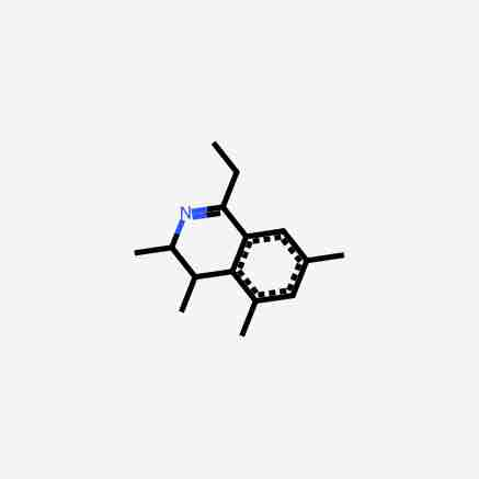 CCC1=NC(C)C(C)c2c(C)cc(C)cc21